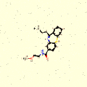 CCCC1=Nc2cc(C(=O)NCCOC)ccc2Sc2ccccc21